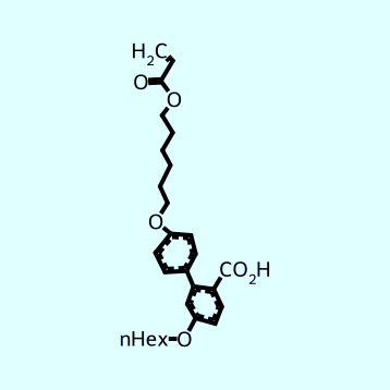 C=CC(=O)OCCCCCCOc1ccc(-c2cc(OCCCCCC)ccc2C(=O)O)cc1